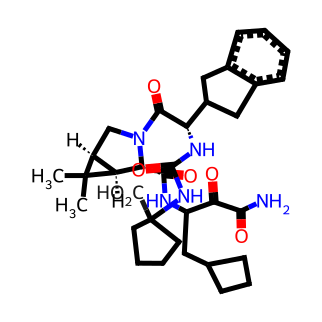 CC1(C)[C@@H]2[C@@H](C(=O)NC(CC3CCC3)C(=O)C(N)=O)N(C(=O)[C@@H](NC(=O)NC3(C(=O)O)CCCC3)C3Cc4ccccc4C3)C[C@@H]21